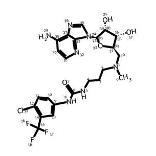 CN(CCCNC(=O)Nc1ccc(Cl)c(C(F)(F)F)c1)C[C@H]1O[C@@H](n2cnc3c(N)ccnc32)[C@H](O)[C@@H]1O